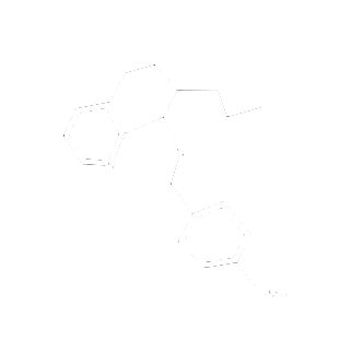 CCOC(=O)CCC1CCc2cccnc2C1N[C@@H](C)c1ccc(OC)cc1